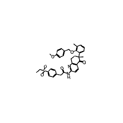 CCS(=O)(=O)c1ccc(CC(=O)Nc2ccc3c(n2)CCC(C)(c2cccc(C)c2OCc2ccc(OC)cc2)C3=O)cc1